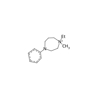 CC[N+]1(C)CCCN(c2ccccc2)CC1